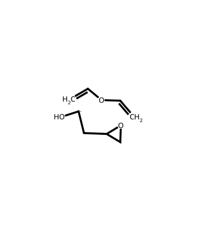 C=COC=C.O[CH]CC1CO1